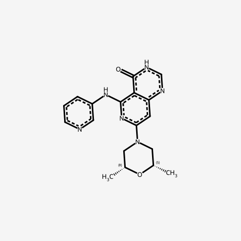 C[C@@H]1CN(c2cc3nc[nH]c(=O)c3c(Nc3cccnc3)n2)C[C@H](C)O1